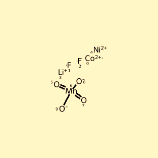 [Co+2].[F].[F].[Li+].[Ni+2].[O]=[Mn](=[O])([O-])[O-]